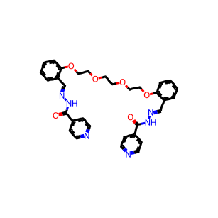 O=C(NN=Cc1ccccc1OCCOCCOCCOc1ccccc1C=NNC(=O)c1ccncc1)c1ccncc1